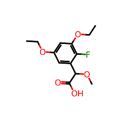 CCOc1cc(OCC)c(F)c(C(OC)C(=O)O)c1